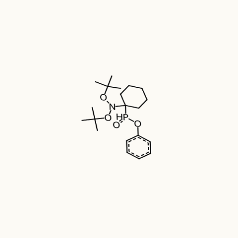 CC(C)(C)ON(OC(C)(C)C)C1([PH](=O)Oc2ccccc2)CCCCC1